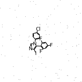 Fc1cc(F)c(-c2c(I)ncn2-c2ccc(Cl)cc2)c(F)c1